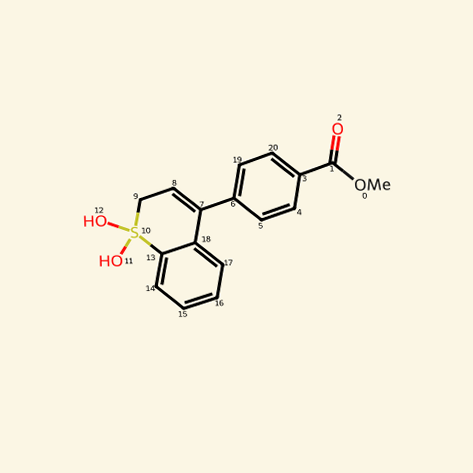 COC(=O)c1ccc(C2=CCS(O)(O)c3ccccc32)cc1